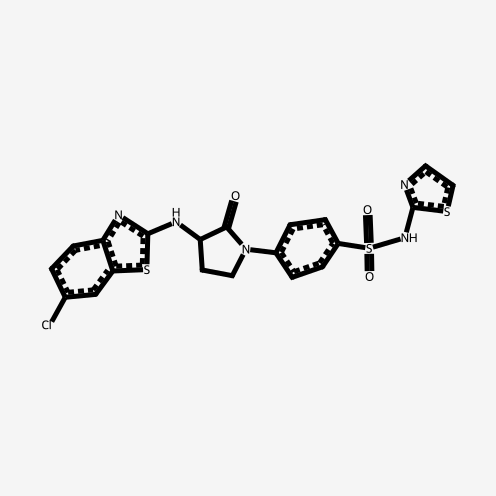 O=C1C(Nc2nc3ccc(Cl)cc3s2)CCN1c1ccc(S(=O)(=O)Nc2nccs2)cc1